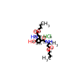 CCCCOC(=O)CC(C)NCC(=O)c1ccc(O)c2[nH]c(C(=O)OCCCC)cc12.Cl